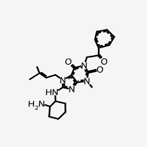 CC(C)=CCn1c(NC2CCCCC2N)nc2c1c(=O)n(CC(=O)c1ccccc1)c(=O)n2C